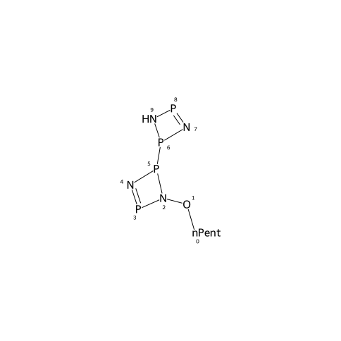 CCCCCOn1pnp1-p1np[nH]1